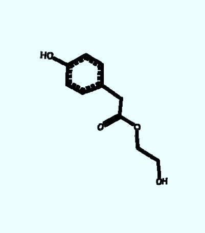 O=C(Cc1ccc(O)cc1)OCCO